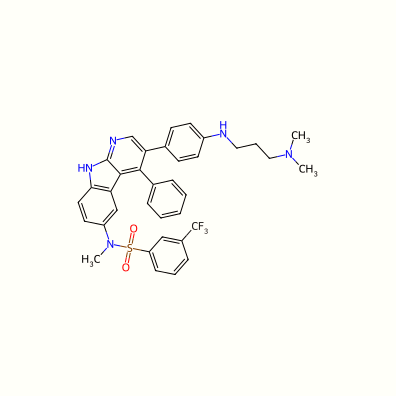 CN(C)CCCNc1ccc(-c2cnc3[nH]c4ccc(N(C)S(=O)(=O)c5cccc(C(F)(F)F)c5)cc4c3c2-c2ccccc2)cc1